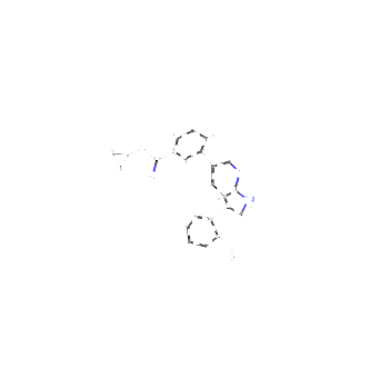 COc1ccccc1-c1c[nH]c2ncc(-c3cccc(C(=N)NC4CC4)c3)cc12